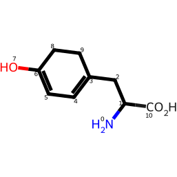 NC(CC1=CC=C(O)CC1)C(=O)O